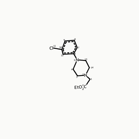 CCOC(=O)CN1CCN(c2cccc(Cl)c2)CC1